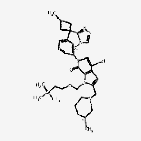 CC1CC(c2cccc(-n3cc(Cl)c4cc(CN5CCC[C@H](C)C5)n(COCC[Si](C)(C)C)c4c3=O)c2)(c2nncn2C)C1